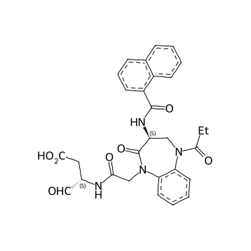 CCC(=O)N1C[C@H](NC(=O)c2cccc3ccccc23)C(=O)N(CC(=O)N[C@H](C=O)CC(=O)O)c2ccccc21